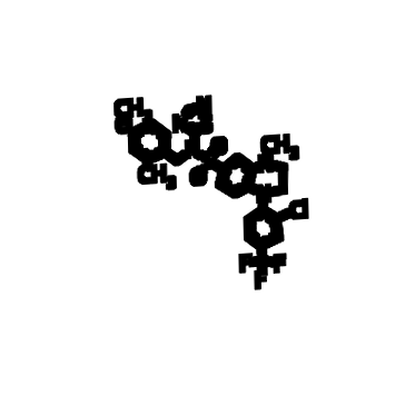 COc1ccc(CN(c2ncns2)S(=O)(=O)c2ccc3c(c2)N(C)CCN3c2ccc(C(F)(F)F)cc2Cl)c(C)c1